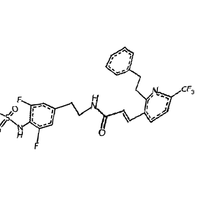 CS(=O)(=O)Nc1c(F)cc(CCNC(=O)C=Cc2ccc(C(F)(F)F)nc2CCc2ccccc2)cc1F